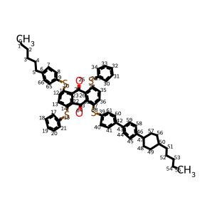 CCCCCCc1ccc(Sc2ccc(Sc3ccccc3)c3c2C(=O)c2c(Sc4ccccc4)ccc(Sc4ccc(-c5ccc(C6CCC(CCCCC)CC6)cc5)cc4)c2C3=O)cc1